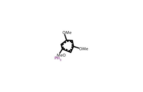 COc1cc(OC)cc(OC)c1.P